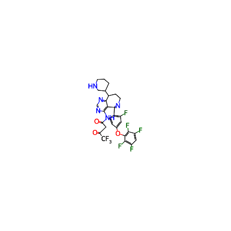 O=C(CC(=O)C(F)(F)F)Nc1ncnc2c1C(c1ccc(Oc3c(F)c(F)cc(F)c3F)cc1F)=NCCC2C1CCCNC1